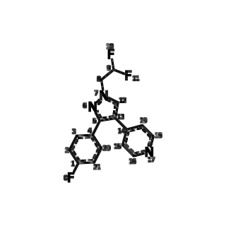 Fc1ccc(-c2nn(CC(F)F)cc2-c2ccncc2)cc1